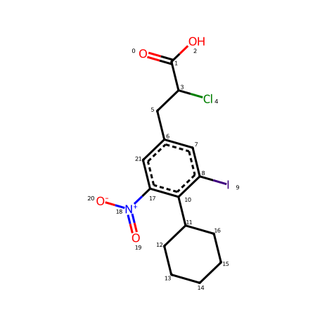 O=C(O)C(Cl)Cc1cc(I)c(C2CCCCC2)c([N+](=O)[O-])c1